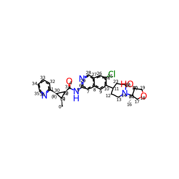 C[C@@H]1[C@H](C(=O)Nc2cc3cc(C4CCN([C@]5(C)COC[C@@H]5O)CC4)c(Cl)cc3cn2)[C@@H]1c1ccccn1